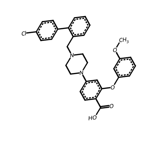 COc1cccc(Oc2cc(N3CCN(Cc4ccccc4-c4ccc(Cl)cc4)CC3)ccc2C(=O)O)c1